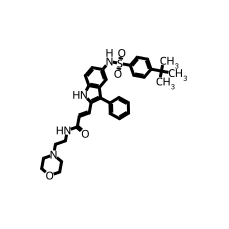 CC(C)(C)c1ccc(S(=O)(=O)Nc2ccc3[nH]c(/C=C/C(=O)NCCN4CCOCC4)c(-c4ccccc4)c3c2)cc1